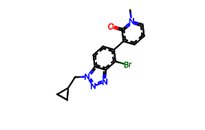 Cn1cccc(-c2ccc3c(nnn3CC3CC3)c2Br)c1=O